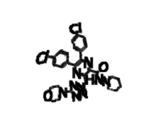 O=C(NN1CCCCC1)c1nc(-c2ccc(Cl)cc2)c(-c2ccc(Cl)cc2)nc1Cn1nnc(N2CCOCC2)n1